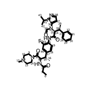 CCC(=O)N[C@@H](C(=O)N1CCN(C)CC1)[C@@H](C)c1ccc(NC(=O)[C@H]([C@@H](C)c2ccccc2)N(C=O)c2ccnn2C(C)C)c(F)c1